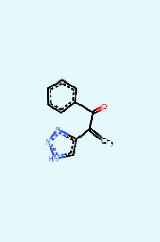 C=C(C(=O)c1ccccc1)c1c[nH]nn1